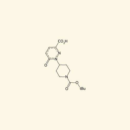 CC(C)(C)OC(=O)N1CCC(n2nc(C(=O)O)ccc2=O)CC1